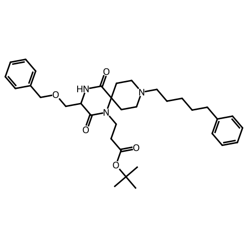 CC(C)(C)OC(=O)CCN1C(=O)C(COCc2ccccc2)NC(=O)C12CCN(CCCCCc1ccccc1)CC2